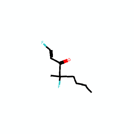 CCCCC(C)(F)C(=O)/C=[C]/F